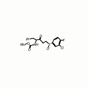 CC(C)CC(NC(=O)OC(C)(C)C)C(=O)CC[S+]([O-])c1ccc(F)c(Cl)c1